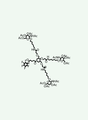 CC(=O)NC1C(OCCCCCCNC(=O)CCOCC2CN(C(=O)CCCC(=O)Oc3c(F)c(F)c(F)c(F)c3F)CC(COCCC(=O)NCCCCCCOC3OC(COC(C)=O)C(OC(C)=O)C(OC(C)=O)C3NC(C)=O)C2OCCC(=O)NCCCCCCOC2OC(COC(C)=O)C(OC(C)=O)C(OC(C)=O)C2NC(C)=O)OC(COC(C)=O)C(OC(C)=O)C1OC(C)=O